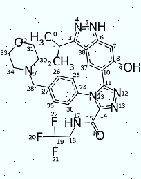 CC(C)c1n[nH]c2cc(O)c(-c3nnc(C(=O)NCC(F)(F)F)n3-c3ccc(CN4CCOCC4)cc3)cc12